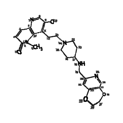 Cn1c(=O)ccc2ncc(Cl)c(CCN3CCC(NCc4cc5c(cn4)OCCO5)CC3)c21